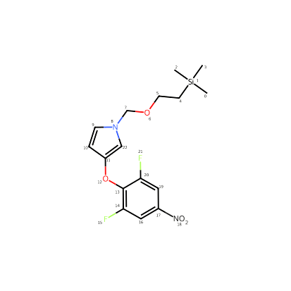 C[Si](C)(C)CCOCn1ccc(Oc2c(F)cc([N+](=O)[O-])cc2F)c1